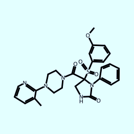 COc1cccc(S(=O)(=O)C2(C(=O)N3CCN(c4ncccc4C)CC3)CNC(=O)N2c2ccccc2)c1